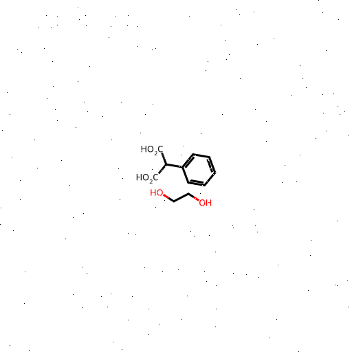 O=C(O)C(C(=O)O)c1ccccc1.OCCO